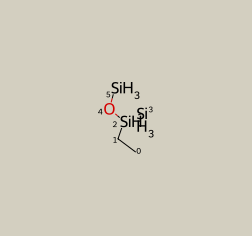 CC[SiH]([SiH3])O[SiH3]